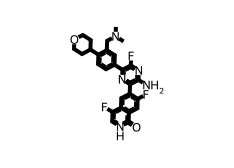 CN(C)Cc1cc(-c2nc(-c3cc4c(F)c[nH]c(=O)c4cc3F)c(N)nc2F)ccc1C1CCOCC1